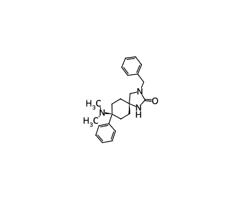 CN(C)[C@]1(c2ccccc2)CC[C@@]2(CC1)CN(Cc1ccccc1)C(=O)N2